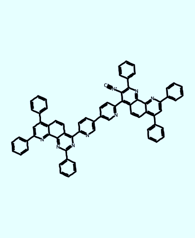 [C-]#[N+]c1c(-c2ccccc2)nc2c(ccc3c(-c4ccccc4)cc(-c4ccccc4)nc32)c1-c1ccc(-c2ccc(-c3nc(-c4ccccc4)nc4c3ccc3c(-c5ccccc5)cc(-c5ccccc5)nc34)nc2)cn1